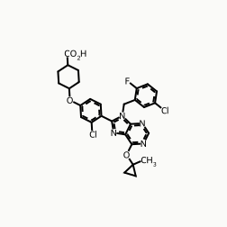 CC1(Oc2ncnc3c2nc(-c2ccc(OC4CCC(C(=O)O)CC4)cc2Cl)n3Cc2cc(Cl)ccc2F)CC1